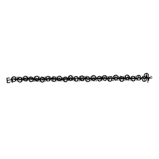 C=C(C)C(=O)OCCOCCOCCOCCOCCOCCOCCOCCOCCOCCOCCOCCOCCOCCOCCOCCOCCOCCOCCOCCOCCOCCOCCOCC